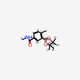 CNC(=O)c1ccc(C)c(B2OC(C)(C)C(C)(C)O2)c1